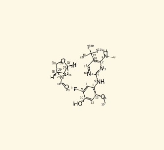 CNc1nc(Nc2cc(F)c(O)cc2OC)ncc1C(F)(F)F.O=CN1C[C@@H]2C[C@H]1CO2